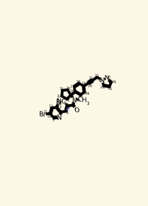 CN(C(=O)/C(C#N)=C/c1ncc(Br)cc1Br)C1(c2ccc(C#CCn3cccn3)cc2)CCCC1